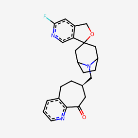 O=C1C[C@H](CN2C3CCC2CC2(C3)OCc3cc(F)ncc32)CCc2cccnc21